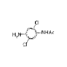 CC(=O)Nc1cc(Cl)c(N)cc1Cl